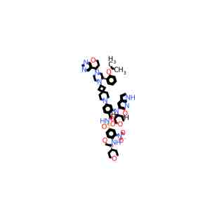 CC(C)Oc1ccccc1[C@@H]1CN([C@@H]2CCOc3ncncc32)CCN1C1CC2(CCN(c3ccc(C(=O)NS(=O)(=O)c4cc5c(c([N+](=O)[O-])c4)N[C@H](C4CCOCC4)CO5)c(N4c5cc6cc[nH]c6nc5O[C@H]5COCC[C@@H]54)c3)CC2)C1